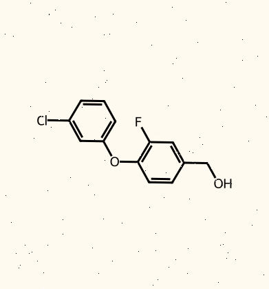 OCc1ccc(Oc2cccc(Cl)c2)c(F)c1